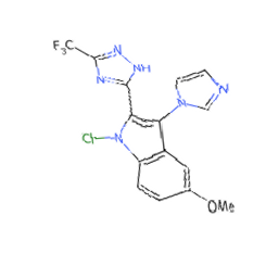 COc1ccc2c(c1)c(-n1ccnc1)c(-c1nc(C(F)(F)F)n[nH]1)n2Cl